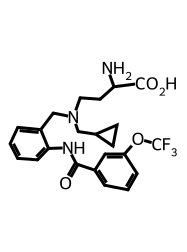 NC(CCN(Cc1ccccc1NC(=O)c1cccc(OC(F)(F)F)c1)CC1CC1)C(=O)O